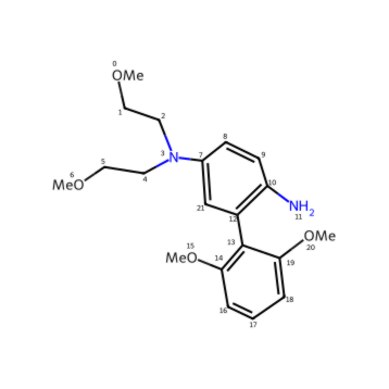 COCCN(CCOC)c1ccc(N)c(-c2c(OC)cccc2OC)c1